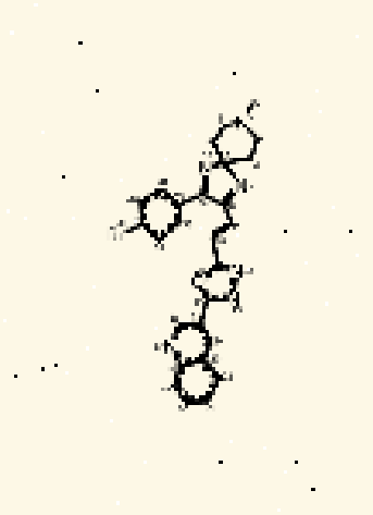 CN1CCC2(CC1)N=C(C=Cc1nnc(-c3cnc4ccccc4c3)o1)C(c1ccc(Br)cc1)=N2